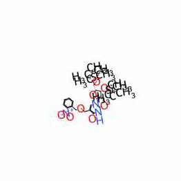 CC(C)(C)[Si](C)(C)OC[C@H]1O[C@@H](n2cc(COCc3ccccc3[N+](=O)[O-])c(=O)[nH]c2=O)C[C@@H]1O[Si](C)(C)C(C)(C)C